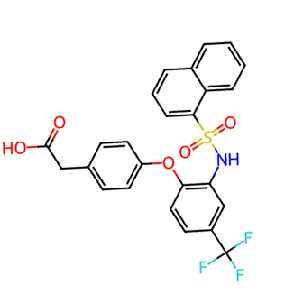 O=C(O)Cc1ccc(Oc2ccc(C(F)(F)F)cc2NS(=O)(=O)c2cccc3ccccc23)cc1